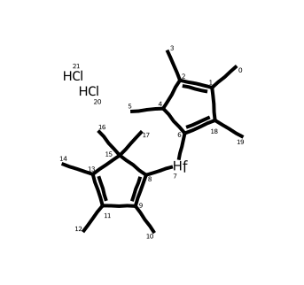 CC1=C(C)C(C)[C]([Hf][C]2=C(C)C(C)=C(C)C2(C)C)=C1C.Cl.Cl